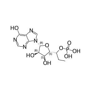 CCC(OP(=O)(O)O)[C@H]1O[C@@H](n2cnc3c(O)ncnc32)[C@H](O)[C@@H]1O